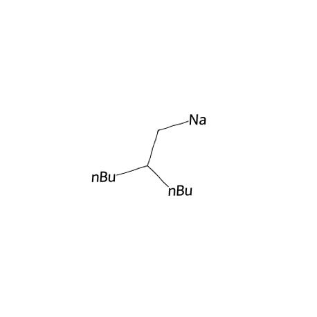 CCCCC([CH2][Na])CCCC